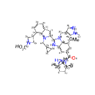 COc1cc(C(=O)N2C[C@H]3CC[C@@H]2[C@@H]3N)cc2nc(-c3cc4cccc(C5CN(C(=O)O)C5)c4n3CC3CC3)n(Cc3cnn(C)c3)c12